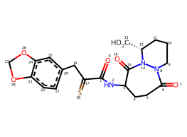 O=C(NC1CCC(=O)N2CCC[C@@H](C(=O)O)N2C1=O)C(=S)Cc1ccc2c(c1)OCO2